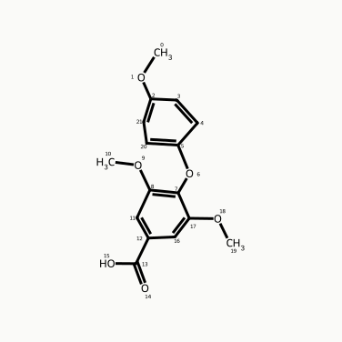 COc1ccc(Oc2c(OC)cc(C(=O)O)cc2OC)cc1